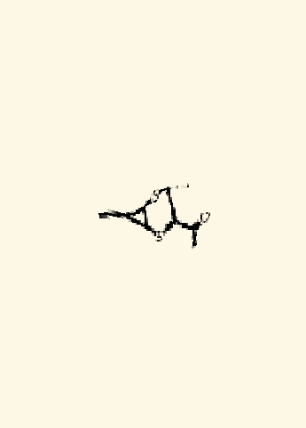 CC(=O)C1SC2C(C)C2S[C@@H]1C